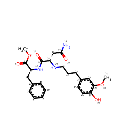 COC(=O)[C@H](Cc1ccccc1)NC(=O)[C@H](CC(N)=O)NCCCc1ccc(O)c(OC)c1